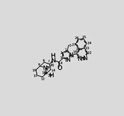 Cc1cc(C(=O)N[C@@H]2CC3CCC[C@H](C2)N3C)nn1-c1nncc2ccccc12